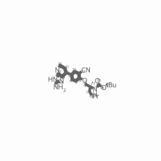 CC(C)C[C@@](C)(COc1ccc(-c2ccnc3[nH]c(N)nc23)cc1C#N)NC(=O)OC(C)(C)C